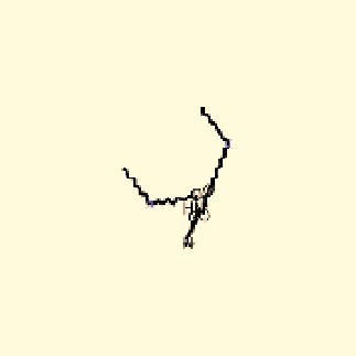 CCCCCCCC/C=C\CCCCCCCCOCC(CNC(=O)OCCCCN(C)C)OCCCCCCCC/C=C\CCCCCCCC